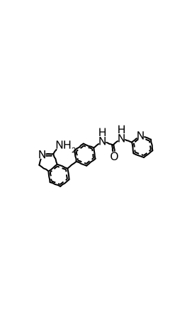 NC1=NCc2cccc(-c3ccc(NC(=O)Nc4ccccn4)cc3)c21